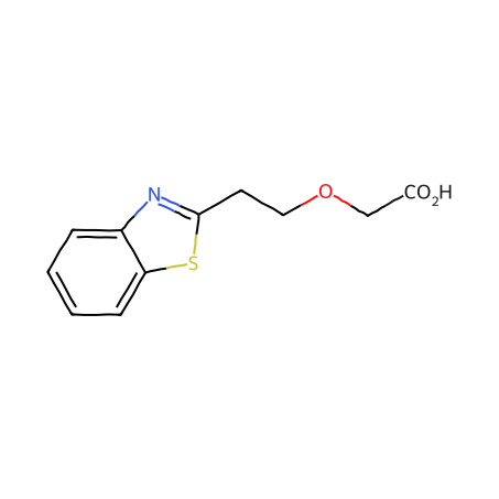 O=C(O)COCCc1nc2ccccc2s1